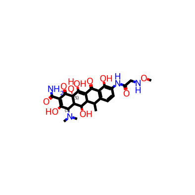 CONCC(=O)Nc1ccc2c(c1O)C(=O)C1=C(O)[C@]3(O)C(=O)C(C(N)=O)=C(O)[C@@H](N(C)C)C3C(O)C1C2C